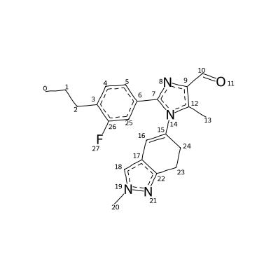 CCCc1ccc(-c2nc(C=O)c(C)n2C2=Cc3cn(C)nc3CC2)cc1F